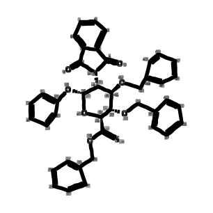 O=C1c2ccccc2C(=O)N1[C@H]1[C@@H](Oc2ccccc2)O[C@H](C(=S)OCc2ccccc2)[C@@H](OCc2ccccc2)[C@@H]1OCc1ccccc1